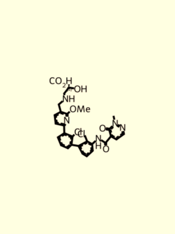 COc1nc(-c2cccc(-c3cccc(NC(=O)c4ccnn(C)c4=O)c3Cl)c2Cl)ccc1CNC[C@H](O)C(=O)O